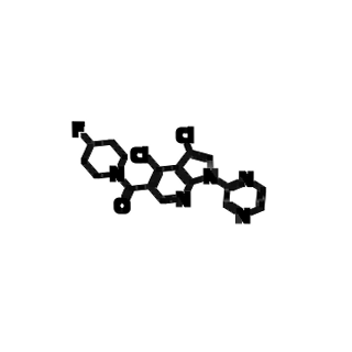 O=C(c1cnc2c(c(Cl)cn2-c2cnccn2)c1Cl)N1CCC(F)CC1